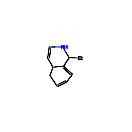 CCC1NC=CC2CC=CC=C21